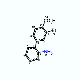 CCc1cc(-c2ccccc2N)ccc1C(=O)O